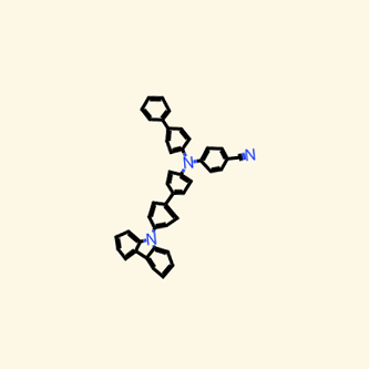 N#Cc1ccc(N(c2ccc(-c3ccccc3)cc2)c2ccc(-c3ccc(-n4c5ccccc5c5ccccc54)cc3)cc2)cc1